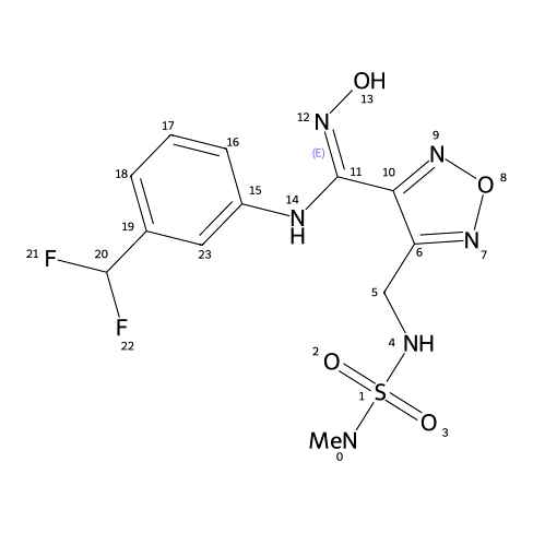 CNS(=O)(=O)NCc1nonc1/C(=N\O)Nc1cccc(C(F)F)c1